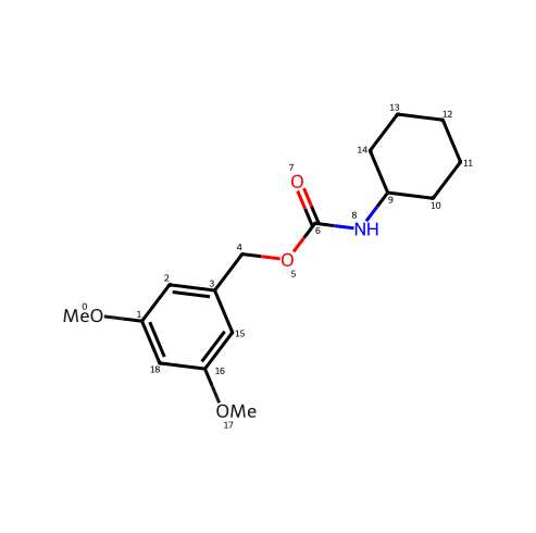 COc1cc(COC(=O)NC2CCCCC2)cc(OC)c1